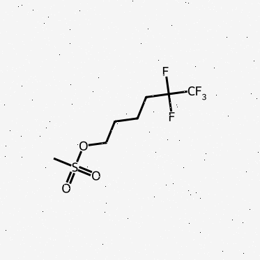 CS(=O)(=O)OCCCCC(F)(F)C(F)(F)F